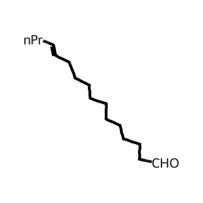 CCC/C=C/CCCCCCCCCCC=O